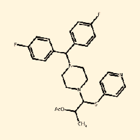 CC(=O)OC(C)C(Sc1ccncc1)N1CCN(C(c2ccc(F)cc2)c2ccc(F)cc2)CC1